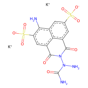 NC(=O)N(N)N1C(=O)c2cc(S(=O)(=O)[O-])cc3c(N)c(S(=O)(=O)[O-])cc(c23)C1=O.[K+].[K+]